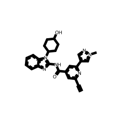 C#Cc1cc(C(=O)Nc2nc3ccccc3n2C2CCC(O)CC2)cc(-c2cnn(C)c2)n1